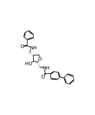 O=C(NC[C@@H]1CO[C@H](CNC(=O)c2ccc(-c3ccccc3)cc2)[C@H]1O)c1ccccc1